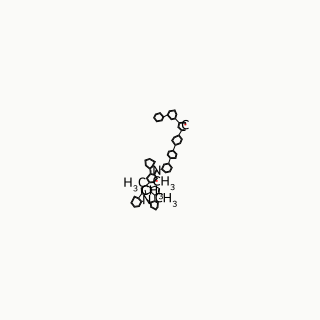 CC1C=CC2(C)C3=C1C(C)(c1ccc4c(c1)c1ccccc1n4-c1cccc(-c4ccc(-c5ccc(-c6cccc(-c7cccc(-c8ccccc8)c7)c6)cc5)cc4)c1)C=C1c4ccccc4N(c4ccccc42)C13C